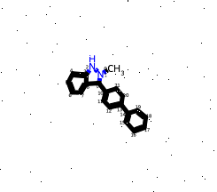 CN1Nc2ccccc2C1C1=CC=C(c2ccccc2)CC1